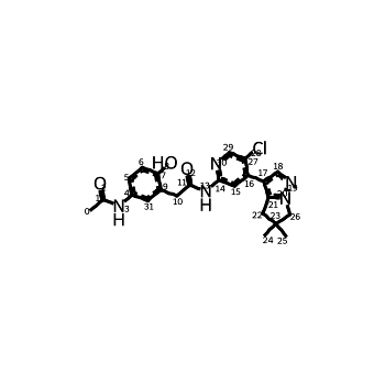 CC(=O)Nc1ccc(O)c(CC(=O)Nc2cc(-c3cnn4c3CC(C)(C)C4)c(Cl)cn2)c1